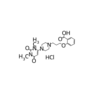 Cl.Cn1c(N2CCN(CCCOc3ccccc3C(=O)O)CC2)cc(=O)n(C)c1=O